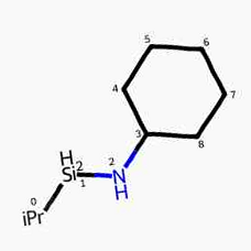 CC(C)[SiH2]NC1CCCCC1